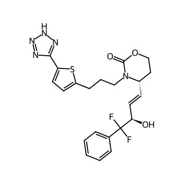 O=C1OCC[C@H](/C=C/[C@@H](O)C(F)(F)c2ccccc2)N1CCCc1ccc(-c2nn[nH]n2)s1